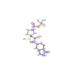 CS[C@@]1(C(=O)Nc2ccc3[nH]ncc3c2)CCN(C(=O)OC(C)(C)C)C1